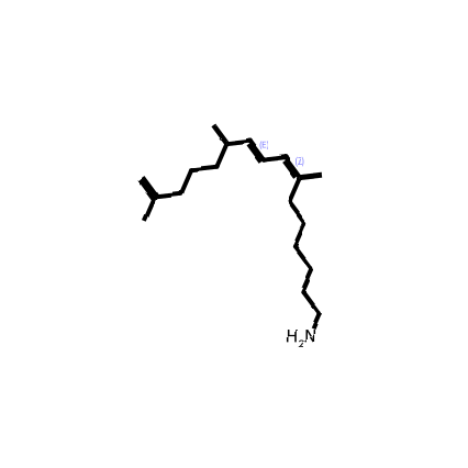 C=C(C)CCCC(C)/C=C/C=C(/C)CCCCCCN